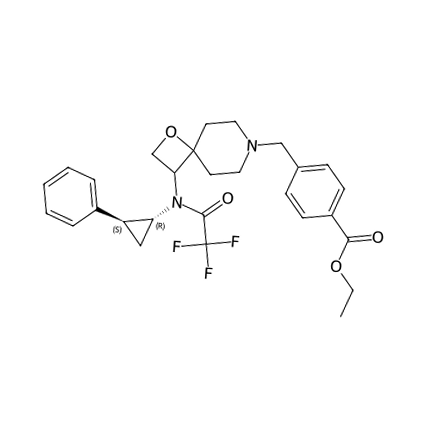 CCOC(=O)c1ccc(CN2CCC3(CC2)OCC3N(C(=O)C(F)(F)F)[C@@H]2C[C@H]2c2ccccc2)cc1